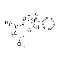 COC(=O)[C@@H](CC(C)C)N[P@](C)(=O)c1ccccc1